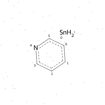 [SnH2].c1ccncc1